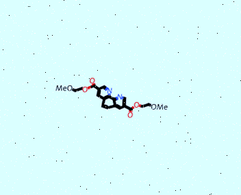 COCCOC(=O)c1cnc2c(ccc3cc(C(=O)OCCOC)cnc32)c1